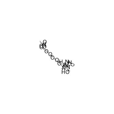 CCCC(=O)N(C=O)OC(=O)CCOCCOCCOCCOCCOCCC(=O)N(CC)Cc1nc2c(N)nc3ccccc3c2n1CC(C)(C)O